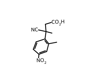 Cc1cc([N+](=O)[O-])ccc1C(C)(C#N)CC(=O)O